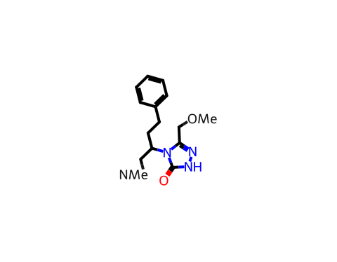 CNCC(CCc1ccccc1)n1c(COC)n[nH]c1=O